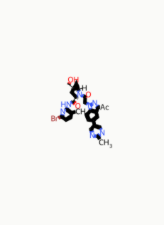 CC(=O)c1nn(CC(=O)N2[C@H](C(=O)Nc3nc(Br)ccc3C)C[C@@]3(CO)C[C@@H]23)c2ccc(-c3cnc(C)nc3)cc12